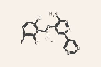 C[C@@H](Oc1cc(-c2cncnc2)nnc1N)c1c(Cl)ccc(F)c1Cl